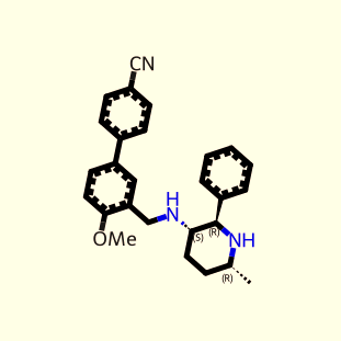 COc1ccc(-c2ccc(C#N)cc2)cc1CN[C@H]1CC[C@@H](C)N[C@@H]1c1ccccc1